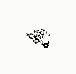 CC(O)N(c1nc(N2CC[S+]([O-])CC2)c2ncnc(OCc3cccc(F)c3)c2n1)C(C)O